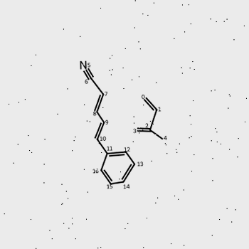 C=CC(=C)C.N#CC=CC=Cc1ccccc1